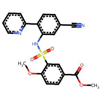 COC(=O)c1ccc(OC)c(S(=O)(=O)Nc2cc(C#N)ccc2-c2ccccn2)c1